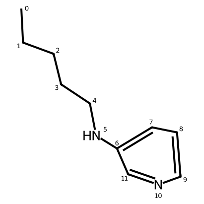 CCCCCNc1cccnc1